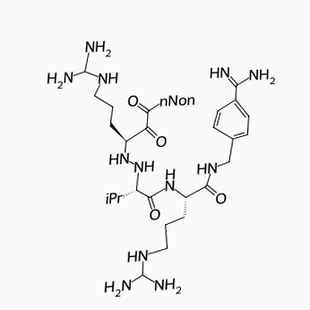 CCCCCCCCCC(=O)C(=O)[C@H](CCCNC(N)N)NN[C@H](C(=O)N[C@@H](CCCNC(N)N)C(=O)NCc1ccc(C(=N)N)cc1)C(C)C